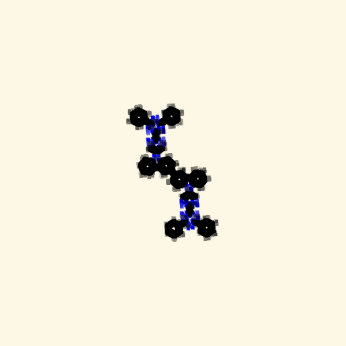 C1=CCCC(c2nc(-c3ccccc3)nc(-c3ncc(-n4c5ccccc5c5cc(-c6ccc7c(c6)c6ccccc6n7-c6cnc(-c7nc(-c8ccccc8)nc(-c8ccccc8)n7)nc6)ccc54)cn3)n2)=C1